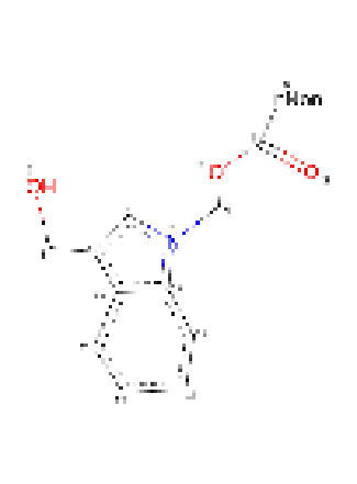 CCCCCCCCCC(=O)OCn1cc(CO)c2ccccc21